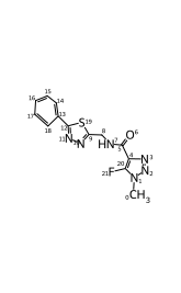 Cn1nnc(C(=O)NCc2nnc(-c3ccccc3)s2)c1F